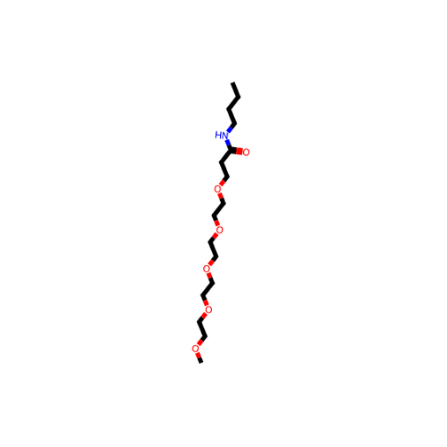 CCCCNC(=O)CCOCCOCCOCCOCCOC